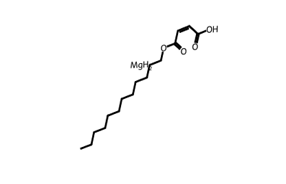 CCCCCCCCCCCCOC(=O)/C=C\C(=O)O.[MgH2]